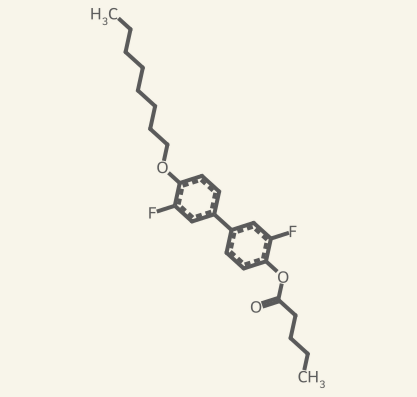 CCCCCCCCOc1ccc(-c2ccc(OC(=O)CCCC)c(F)c2)cc1F